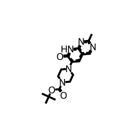 Cc1ncc2cc(N3CCN(C(=O)OC(C)(C)C)CC3)c(=O)[nH]c2n1